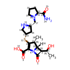 C[C@@H](O)[C@H]1C(=O)N2C(C(=O)O)=C(S[C@@H]3CN[C@H](CN4CCC[C@H]4C(N)=O)C3)[C@H](C)[C@H]12